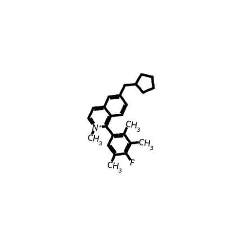 Cc1cc(-c2c3ccc(CC4CCCC4)cc3cc[n+]2C)c(C)c(C)c1F